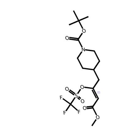 COC(=O)/C=C(/CC1CCN(C(=O)OC(C)(C)C)CC1)OS(=O)(=O)C(F)(F)F